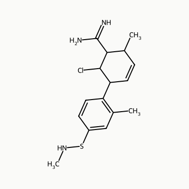 CNSc1ccc(C2C=CC(C)C(C(=N)N)C2Cl)c(C)c1